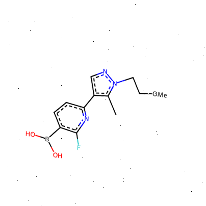 COCCn1ncc(-c2ccc(B(O)O)c(F)n2)c1C